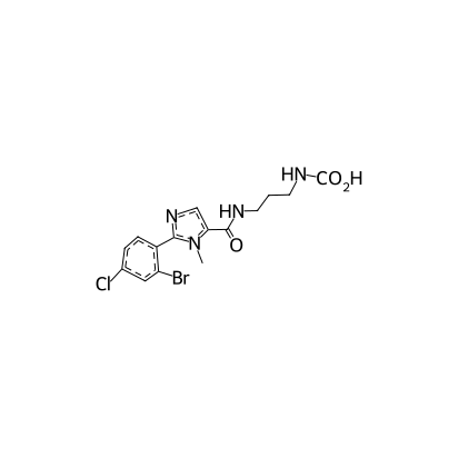 Cn1c(C(=O)NCCCNC(=O)O)cnc1-c1ccc(Cl)cc1Br